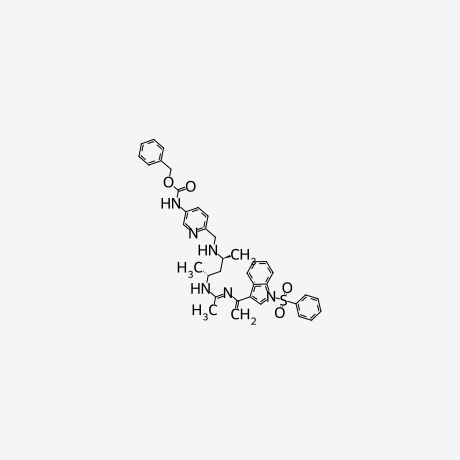 C=C(/N=C(\C)N[C@H](C)C[C@H](C)NCc1ccc(NC(=O)OCc2ccccc2)cn1)c1cn(S(=O)(=O)c2ccccc2)c2ccccc12